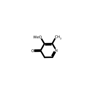 COC1=C(C)N=CCC1=O